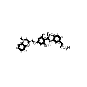 CCc1cc(OC[C@@H]2CN(C)c3ccccc3O2)cc(C)c1C(=O)Nc1cc(CC(=O)O)ccc1C(F)(F)F